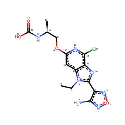 CCn1c(-c2nonc2N)nc2c(Cl)nc(OC[C@H](C)NC(=O)O)cc21